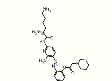 NCCCC[C@H](N)C(=O)Nc1ccc(/N=N/c2ccccc2OC(=O)CN2CCCCC2)c(N)n1